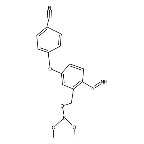 COB(OC)OCc1cc(Oc2ccc(C#N)cc2)ccc1N=N